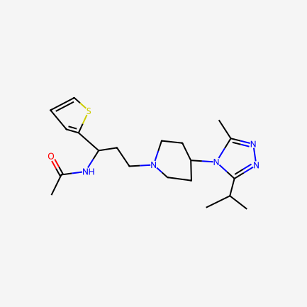 CC(=O)NC(CCN1CCC(n2c(C)nnc2C(C)C)CC1)c1cccs1